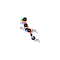 COc1cc2c(Oc3ccc(NS(=O)(=O)c4ccccc4C(F)(F)F)cc3C)ccnc2cc1OCCCN1CCC(C)CC1